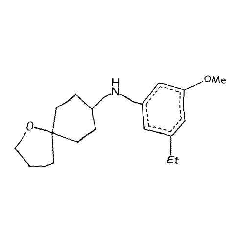 CCc1cc(NC2CCC3(CCCO3)CC2)cc(OC)c1